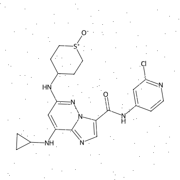 O=C(Nc1ccnc(Cl)c1)c1cnc2c(NC3CC3)cc(NC3CC[S+]([O-])CC3)nn12